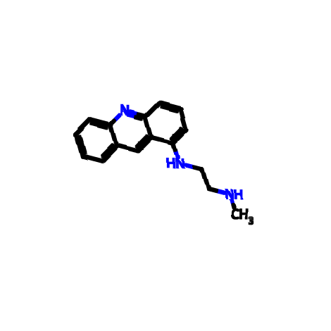 CNCCNc1cccc2nc3ccccc3cc12